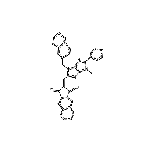 Cn1c(-c2ccccc2)nc2c1nc(C=C1C(=O)c3cc4ccccc4cc3C1=O)n2Cc1ccc2ccccc2c1